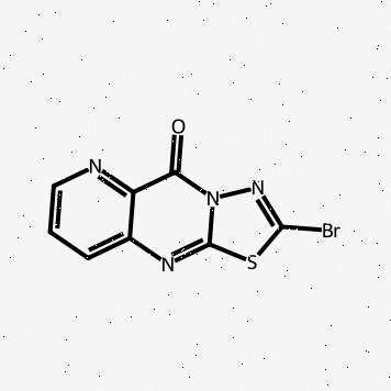 O=c1c2ncccc2nc2sc(Br)nn12